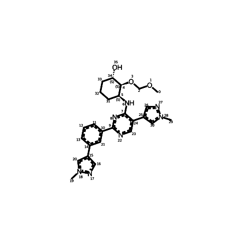 COCO[C@H]1[C@@H](Nc2nc(-c3cccc(-c4cnn(C)c4)c3)ncc2-c2cnn(C)c2)CCC[C@@H]1O